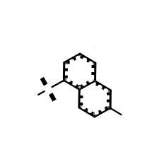 O=S(=O)([O-])c1cccc2cc(O)ccc12.[K+]